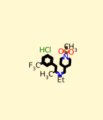 CCN(CC1CCN(S(C)(=O)=O)CC1)[C@@H](C)Cc1cccc(C(F)(F)F)c1.Cl